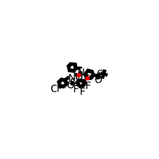 CC(C)(C)OC(=O)c1ccc(N(Cc2ccccc2)C(=O)CN(Cc2ccc(Cl)cc2)[S+]([O-])c2c(F)c(F)c(F)c(F)c2F)cc1